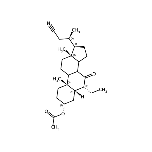 CC[C@H]1C(=O)C2C3CC[C@H]([C@H](C)CC#N)[C@@]3(C)CCC2[C@@]2(C)CC[C@@H](OC(C)=O)C[C@@H]12